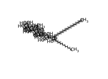 CCCCCCCCCCCCC/C=C/[C@@H](O)[C@H](CO[C@@H]1OC(CO)[C@@H](O[C@@H]2OC(CO)[C@H](O[C@@H]3OC(CO)[C@H](O)[C@H](O[C@@H]4OC(CO)[C@H](O)[C@H](O[C@H]5OC(CO)[C@H](O)[C@H](O)C5O)C4O)C3NC(C)=O)[C@H](O)C2O)[C@H](O)C1O)NC(=O)CCCCCCCCCCCCCCCCCCCCC